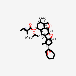 C/C=C(\C)C(=O)O[C@H]1C[C@@H](OC(C)=O)[C@@]2(C)CO[C@@H]3C2[C@@]1(C)[C@@H](CC(=O)OC)[C@]1(C)C2=C(C)[C@H](c4cc5oc4CCC5)C[C@H]2O[C@H]31